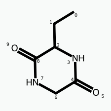 CCC1NC(=O)CNC1=O